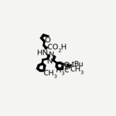 Cc1cccc(Cc2nc(-c3cccc(O[Si](C)(C)C(C)(C)C)c3)cnc2N/C(=C/c2ccco2)C(=O)O)c1